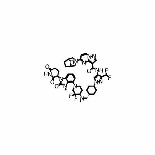 CN(C[C@H]1CC[C@H](n2cc(NC(=O)c3cnn4ccc(N5CC6CCC(C5)O6)nc34)c(C(F)F)n2)CC1)C1CCN(c2cccc3c2n(C)c(=O)n3C2CCC(=O)NC2=O)CC1(F)F